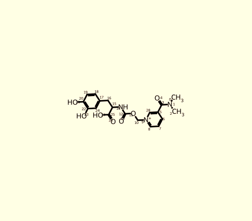 CN(C)C(=O)c1ccc[n+](COC(=O)NC(Cc2ccc(O)c(O)c2)C(=O)O)c1